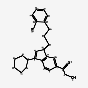 O=C(CO)c1ccc2c(C3CCCCC3)cn(CCCc3ccccc3Br)c2c1